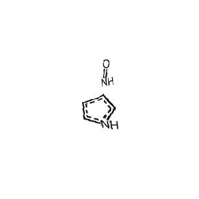 N=O.c1cc[nH]c1